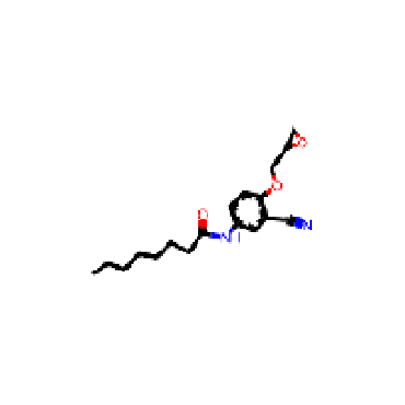 CCCCCCCC(=O)Nc1ccc(OCC2CO2)c(C#N)c1